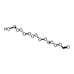 O=COOOOOOOOOOOOOO